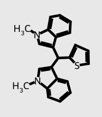 Cn1cc(C(c2cccs2)c2cn(C)c3ccccc23)c2ccccc21